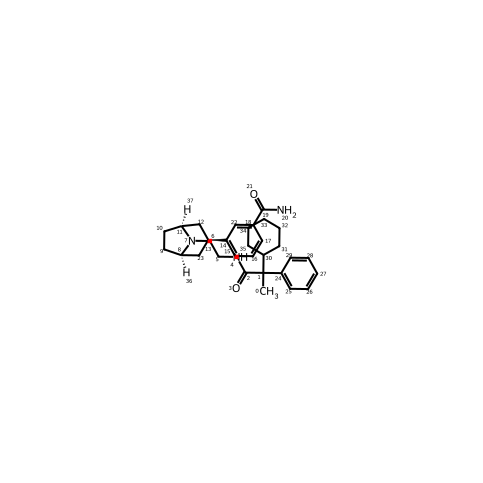 CC(C(=O)NCCN1[C@@H]2CC[C@H]1C[C@@H](c1cccc(C(N)=O)c1)C2)(c1ccccc1)C1CCCCC1